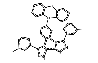 Cc1cccc(-c2nnc3c4nnc(-c5cccc(C)c5)n4c4cc(N5c6ccccc6Oc6ccccc65)ccc4n23)c1